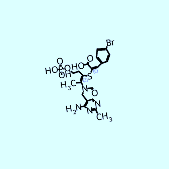 C/C(=C(\CCOP(=O)(O)O)S/C(=C/c1ccc(Br)cc1)C(=O)O)N(C=O)Cc1cnc(C)nc1N